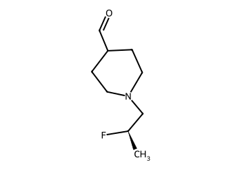 C[C@@H](F)CN1CCC(C=O)CC1